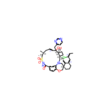 C=C1/C(=C\C(Cl)=C/C)CCC[C@]12COc1ccc3cc1N(C[C@@H]1CC[C@H]1[C@@](O)(Cc1ccncn1)/C=C/C[C@H](C)[C@@H](C)S(=O)(=O)NC3=O)C2